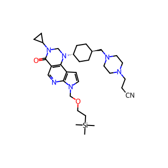 C[Si](C)(C)CCOCn1ccc2c3c(cnc21)C(=O)N(C1CC1)CN3[C@H]1CC[C@H](CN2CCN(CCC#N)CC2)CC1